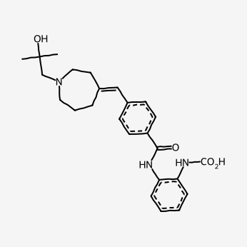 CC(C)(O)CN1CCC/C(=C\c2ccc(C(=O)Nc3ccccc3NC(=O)O)cc2)CC1